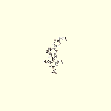 CSN1CCN(c2nc3nn(-c4c(C)cc(C5CC5)cc4C)cc3c(=O)[nH]2)CC1